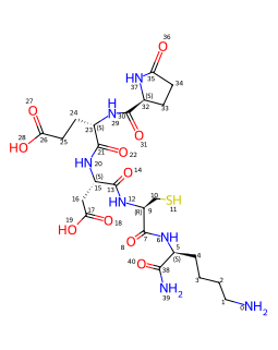 NCCCC[C@H](NC(=O)[C@H](CS)NC(=O)[C@H](CC(=O)O)NC(=O)[C@H](CCC(=O)O)NC(=O)[C@@H]1CCC(=O)N1)C(N)=O